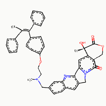 CC/C(=C(\c1ccccc1)c1ccc(OCCN(C)Cc2ccc3cc4c(nc3c2)-c2cc3c(c(=O)n2C4)COC(=O)[C@]3(O)CC)cc1)c1ccccc1